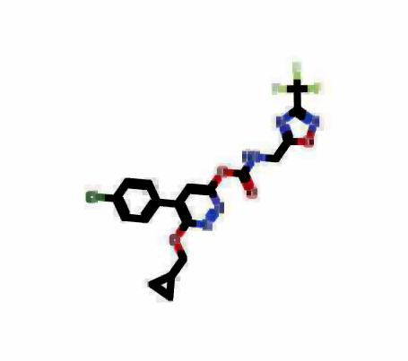 O=C(NCc1nc(C(F)(F)F)no1)Oc1cc(-c2ccc(Cl)cc2)c(OCC2CC2)nn1